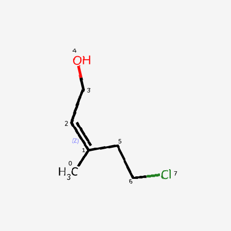 C/C(=C/CO)CCCl